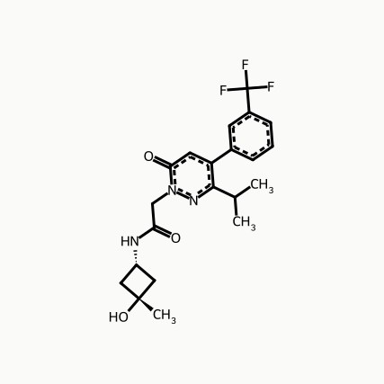 CC(C)c1nn(CC(=O)N[C@H]2C[C@@](C)(O)C2)c(=O)cc1-c1cccc(C(F)(F)F)c1